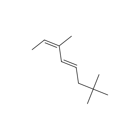 CC=C(C)C=CCC(C)(C)C